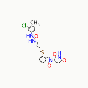 Cc1ccc(NC(=O)NCCCCSc2cccc3c2CN(C2CCC(=O)NC2=O)C3=O)cc1Cl